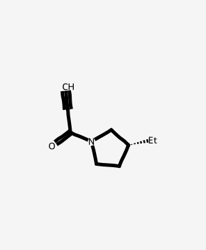 C#CC(=O)N1CC[C@@H](CC)C1